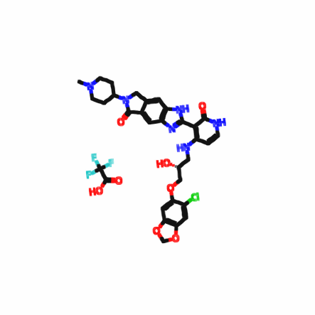 CN1CCC(N2Cc3cc4[nH]c(-c5c(NC[C@@H](O)COc6cc7c(cc6Cl)OCO7)cc[nH]c5=O)nc4cc3C2=O)CC1.O=C(O)C(F)(F)F